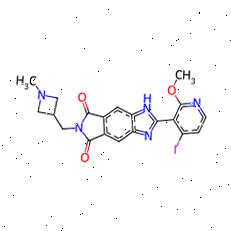 COc1nccc(I)c1-c1nc2cc3c(cc2[nH]1)C(=O)N(CC1CN(C)C1)C3=O